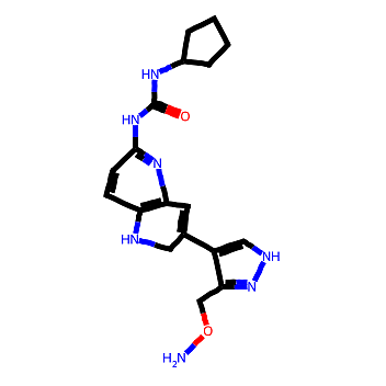 NOCc1n[nH]cc1C1=Cc2nc(NC(=O)NC3CCCC3)ccc2NC1